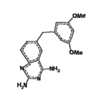 COc1cc(Cc2ccc3nc(N)nc(N)c3c2)cc(OC)c1